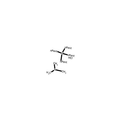 CCCCC[N+](CCCCC)(CCCCC)CCCCC.CN(C)C.Cl